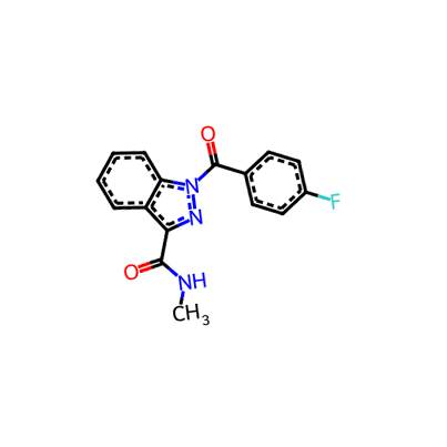 CNC(=O)c1nn(C(=O)c2ccc(F)cc2)c2ccccc12